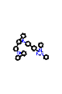 C1=NC(c2ccc(-c3ccc(-n4c5ccccc5c5ccc(-c6cccc(-n7c8ccccc8c8ccccc87)c6)cc54)cc3)cc2)N(c2ccccc2)CN1c1ccccc1